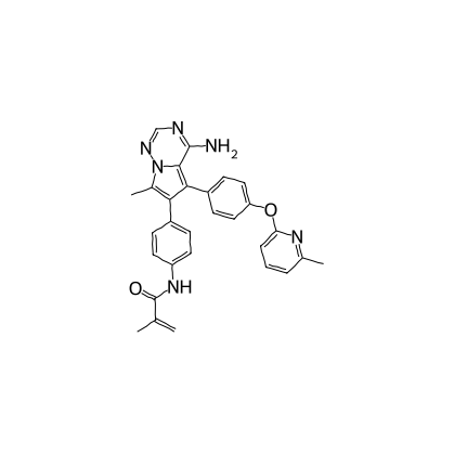 C=C(C)C(=O)Nc1ccc(-c2c(-c3ccc(Oc4cccc(C)n4)cc3)c3c(N)ncnn3c2C)cc1